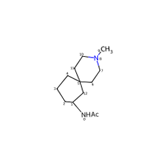 CC(=O)NC1CCCC2(CCN(C)CC2)C1